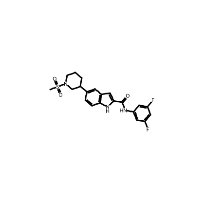 CS(=O)(=O)N1CCCC(c2ccc3[nH]c(C(=O)Nc4cc(F)cc(F)c4)cc3c2)C1